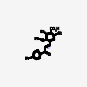 CCc1cc(/C=C/C(=O)c2ccc(C(C)C)cc2)c(OC(C)C)c(CC)c1C(=O)O